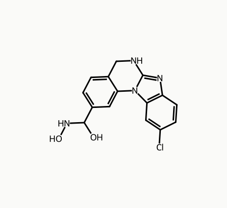 ONC(O)c1ccc2c(c1)-n1c(nc3ccc(Cl)cc31)NC2